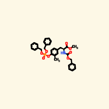 COC(=O)[C@H](Cc1ccc(OP(=O)(OCc2ccccc2)OCc2ccccc2)c(C)c1)NC(=O)OCc1ccccc1